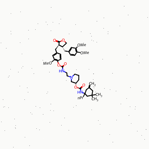 C=C1CC(C)(C)CC(CCC)(NC(=O)O[C@H]2CCCN(CCNC(=O)Oc3ccc(C[C@H]4C(=O)OC[C@@H]4Cc4ccc(OC)c(OC)c4)cc3OC)C2)C1